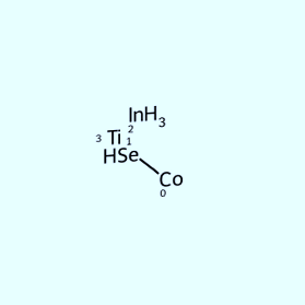 [Co][SeH].[InH3].[Ti]